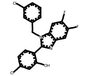 Oc1cc(Cl)ccc1-c1nc2cc(F)c(F)cc2n1Cc1cccc(Cl)c1